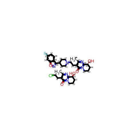 Cc1nc2n(c(=O)c1CCCl)CCCC2O.Cc1nc2n(c(=O)c1CCN1CCC(c3noc4cc(F)ccc34)CC1)CCC[C@H]2O